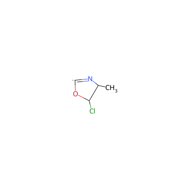 CC1N=[C]OC1Cl